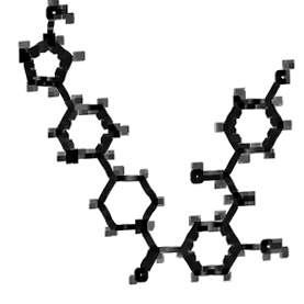 Cc1ccc(C(=O)N2CCC(c3ncc(-c4cnn(C)c4)cn3)CC2)cc1NC(=O)c1ccc(Cl)nc1